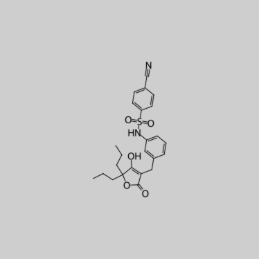 CCCC1(CCC)OC(=O)C(Cc2cccc(NS(=O)(=O)c3ccc(C#N)cc3)c2)=C1O